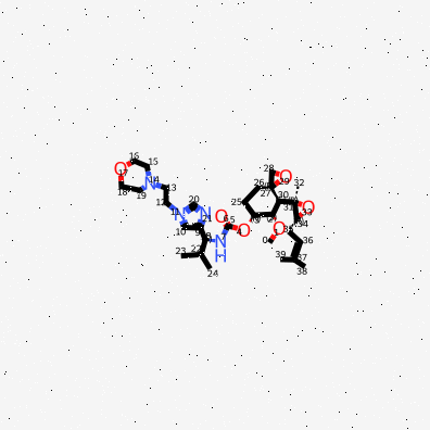 CO[C@@H]1[C@H](OC(=O)N[C@H](c2cn(CCN3CCOCC3)cn2)C(C)C)CC[C@]2(CO2)[C@H]1[C@@]1(C)O[C@@H]1CC=C(C)C